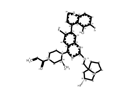 C=CC(=O)N1CCN(c2nc(OCC34CCCN3C[C@H](F)C4)nc3cc(-c4cccc5ccc(F)c(Cl)c45)c(F)cc23)[C@@H](C)C1